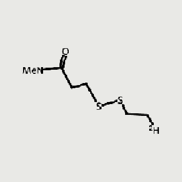 [2H]CCSSCCC(=O)NC